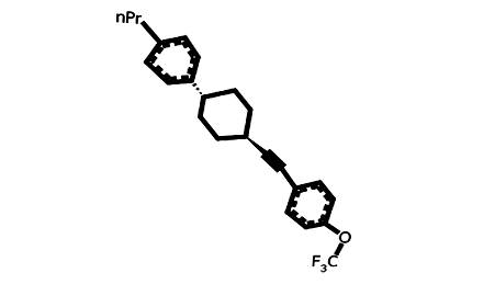 CCCc1ccc([C@H]2CC[C@H](C#Cc3ccc(OC(F)(F)F)cc3)CC2)cc1